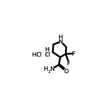 Cl.Cl.NC(=O)C1CCNCC1(F)F